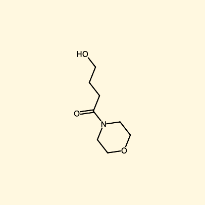 O=C(CCCO)N1CCOCC1